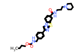 CCCCOC(=O)NCc1ccc(-c2cn3c(n2)sc2cc(C(=O)NCCCN4CCCCC4)ccc23)cc1